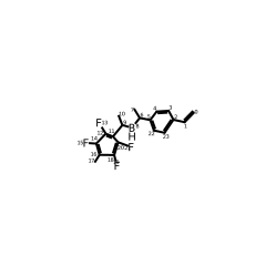 C=Cc1ccc(C(C)BC(C)c2c(F)c(F)c(C)c(F)c2F)cc1